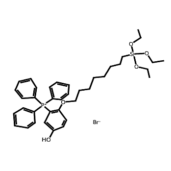 CCO[Si](CCCCCCCCOc1ccc(O)cc1[P+](c1ccccc1)(c1ccccc1)c1ccccc1)(OCC)OCC.[Br-]